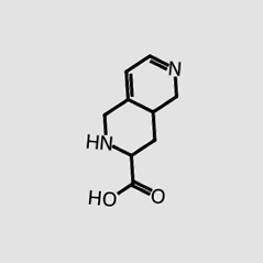 O=C(O)C1CC2CN=CC=C2CN1